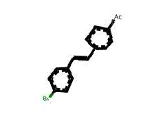 CC(=O)c1ccc(C=Cc2ccc(Br)cc2)cc1